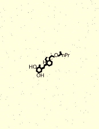 C=C(CCC)COC[C@@H](C)[C@H]1CC[C@H]2/C(=C/C=C3/C[C@@H](O)C[C@H](O)C3=C)CCC[C@]12C